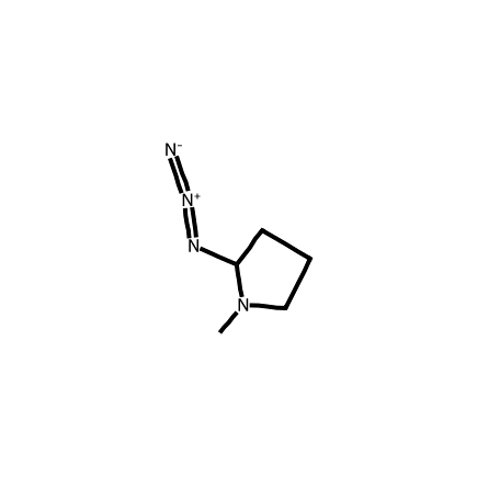 CN1CCCC1N=[N+]=[N-]